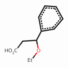 CCOC(CC(=O)O)c1ccccc1